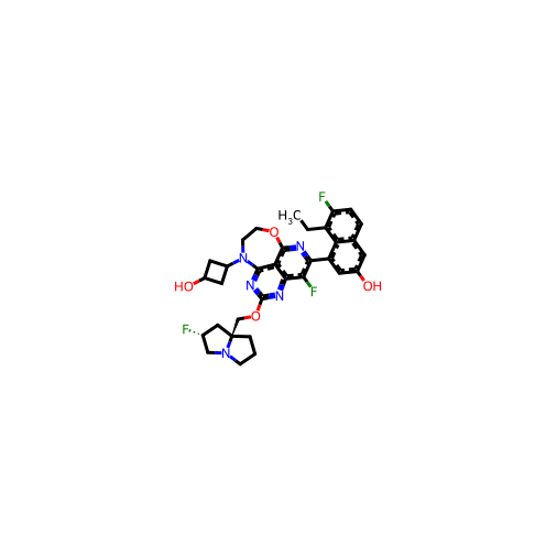 CCc1c(F)ccc2cc(O)cc(-c3nc4c5c(nc(OC[C@@]67CCCN6C[C@H](F)C7)nc5c3F)N(C3CC(O)C3)CCO4)c12